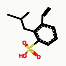 C=Cc1cccc(S(=O)(=O)O)c1CC(C)C